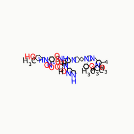 COc1ncc(CN2CCN(C3CC4(CCN(c5ccc(C(=O)NS(=O)(=O)c6ccc(NCC7CCC(C)(O)CC7)c([N+](=O)[O-])c6)c(N6c7cc8cc[nH]c8nc7O[C@H]7COCC[C@@H]76)c5)CC4)C3)[C@@H](c3ccccc3OC(C)C)C2)cc1C1CC1